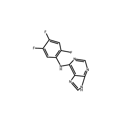 Fc1cc(F)c(Nc2ncnc3[nH]cnc23)cc1F